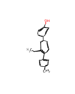 CCc1cc(-c2ccc(O)cc2)ccc1-c1ccc(C)cc1